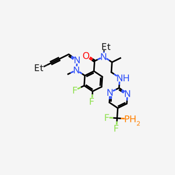 CCC#C/C=N\N(C)c1c(C(=O)N(CC)C(C)CNc2ncc(C(F)(F)P)cn2)ccc(F)c1F